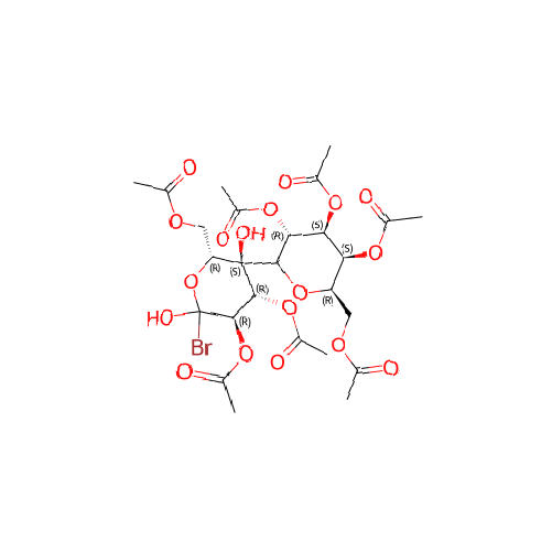 CC(=O)OC[C@H]1OC([C@]2(O)[C@H](OC(C)=O)[C@@H](OC(C)=O)C(O)(Br)O[C@@H]2COC(C)=O)[C@H](OC(C)=O)[C@@H](OC(C)=O)[C@H]1OC(C)=O